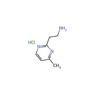 Cc1ccnc(CCN)n1.Cl